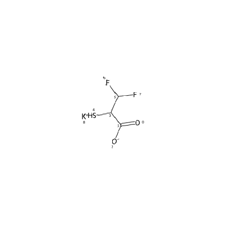 O=C([O-])C(S)C(F)F.[K+]